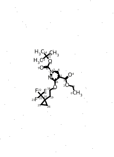 CCOC(=O)c1cn(C(=O)OC(C)(C)C)nc1OCCC1(C(F)(F)F)CC1